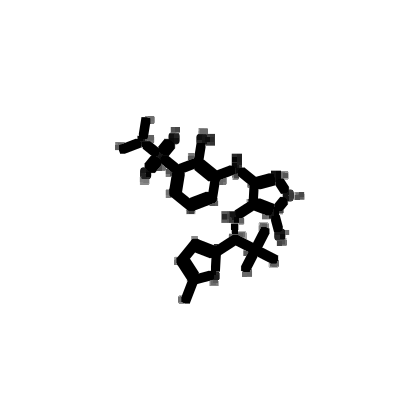 Cc1ccc([C@H](Nc2c(Nc3cccc(S(=O)(=O)N(C)C)c3O)no[n+]2[O-])C(C)(C)C)s1